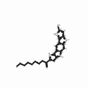 C=C(CCCCCCCC)c1cc2sc3cc4sc5cc(I)oc5c4cc3c2o1